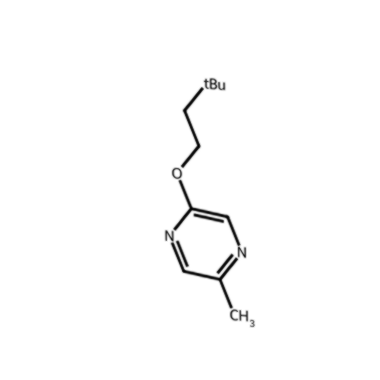 Cc1cnc(OCCC(C)(C)C)cn1